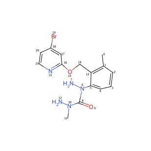 Cc1cccc(N(N)C(=O)N(C)N)c1COc1cc(Br)ccn1